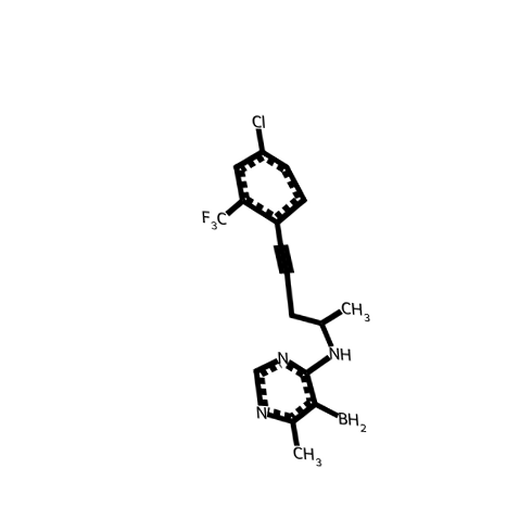 Bc1c(C)ncnc1NC(C)CC#Cc1ccc(Cl)cc1C(F)(F)F